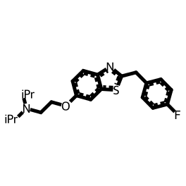 CC(C)N(CCOc1ccc2nc(Cc3ccc(F)cc3)sc2c1)C(C)C